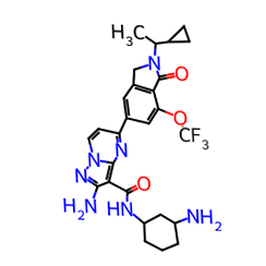 CC(C1CC1)N1Cc2cc(-c3ccn4nc(N)c(C(=O)NC5CCCC(N)C5)c4n3)cc(OC(F)(F)F)c2C1=O